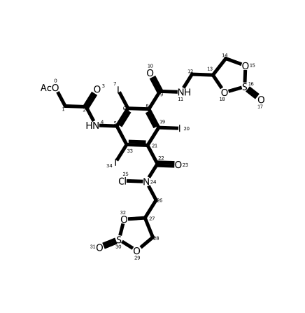 CC(=O)OCC(=O)Nc1c(I)c(C(=O)NCC2COS(=O)O2)c(I)c(C(=O)N(Cl)CC2COS(=O)O2)c1I